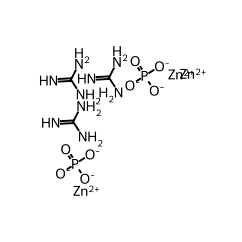 N=C(N)N.N=C(N)N.N=C(N)N.O=P([O-])([O-])[O-].O=P([O-])([O-])[O-].[Zn+2].[Zn+2].[Zn+2]